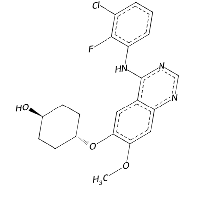 COc1cc2ncnc(Nc3cccc(Cl)c3F)c2cc1O[C@H]1CC[C@H](O)CC1